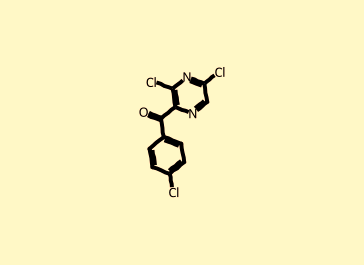 O=C(c1ccc(Cl)cc1)c1ncc(Cl)nc1Cl